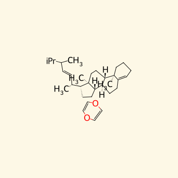 C1=COC=CO1.CC(C)C(C)C=C[C@@H](C)[C@H]1CC[C@H]2[C@@H]3CCC4=CCCC[C@]4(C)[C@H]3CC[C@]12C